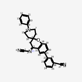 N#C/N=C1\CC2(CCN(c3ccccc3)CC2)Oc2ccc(-c3cccc(C#N)c3)cc21